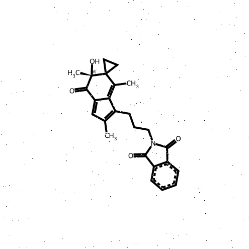 CC1=C(CCCN2C(=O)c3ccccc3C2=O)C2=C(C)C3(CC3)[C@@](C)(O)C(=O)C2=C1